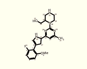 COc1cccc(F)c1C1=CNC(c2cc(C)nc(N3CCNCC3CO)n2)C1